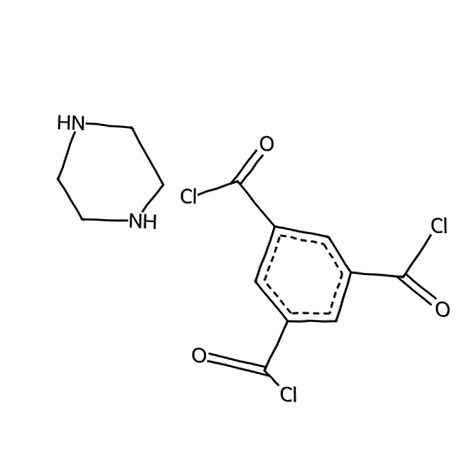 C1CNCCN1.O=C(Cl)c1cc(C(=O)Cl)cc(C(=O)Cl)c1